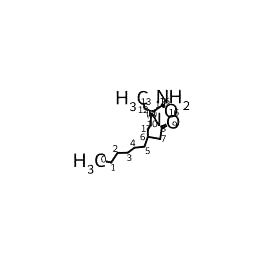 CCCCCCC1CC(=O)N([C@@H](CC)C(N)=O)C1